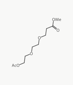 COC(=O)CCOCCOCCOC(C)=O